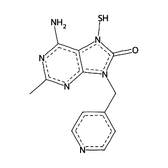 Cc1nc(N)c2c(n1)n(Cc1ccncc1)c(=O)n2S